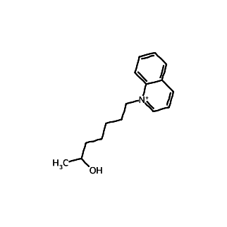 CC(O)CCCCC[n+]1cccc2ccccc21